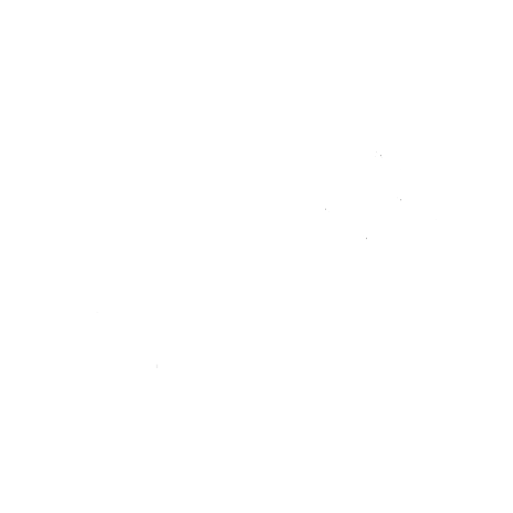 CCCCCCCCC(O)C(O)CCCCCCCCc1nc2c(c(=O)[nH]c(=O)n2C)n1C